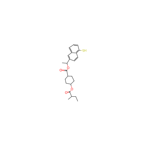 CCC(C)C(=O)OC1CCC(C(=O)OC(C)c2ccc3c(S)cccc3c2)CC1